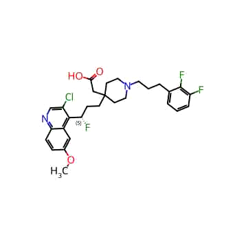 COc1ccc2ncc(Cl)c([C@@H](F)CCC3(CC(=O)O)CCN(CCCc4cccc(F)c4F)CC3)c2c1